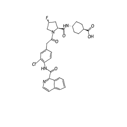 O=C(Nc1ccc(CC(=O)N2C[C@@H](F)C[C@H]2C(=O)N[C@H]2CC[C@H](C(=O)O)CC2)cc1Cl)c1nccc2ccccc12